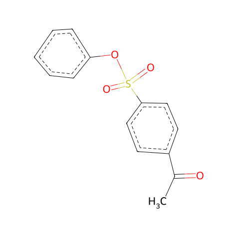 CC(=O)c1ccc(S(=O)(=O)Oc2ccccc2)cc1